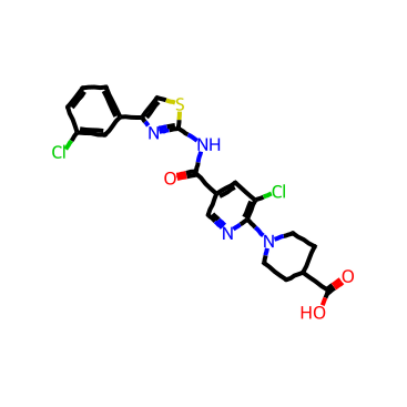 O=C(Nc1nc(-c2cccc(Cl)c2)cs1)c1cnc(N2CCC(C(=O)O)CC2)c(Cl)c1